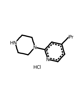 CC(C)c1ccnc(N2CCNCC2)c1.Cl